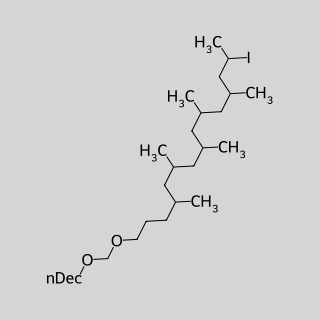 CCCCCCCCCCOCOCCCC(C)CC(C)CC(C)CC(C)CC(C)CC(C)I